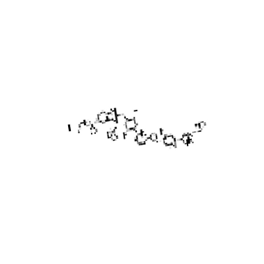 COC(=O)c1ccc2nc(Cc3cc(F)c(-c4cccc(OCc5cnc(-c6cn(C7COC7)nn6)cc5F)n4)cc3F)n(C[C@@H]3CCO3)c2c1